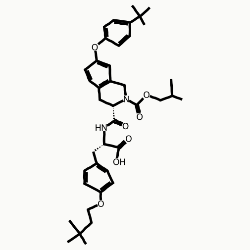 CC(C)COC(=O)N1Cc2cc(Oc3ccc(C(C)(C)C)cc3)ccc2C[C@H]1C(=O)N[C@@H](Cc1ccc(OCCC(C)(C)C)cc1)C(=O)O